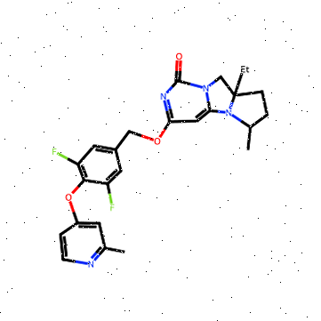 CCC12CCC(C)N1c1cc(OCc3cc(F)c(Oc4ccnc(C)c4)c(F)c3)nc(=O)n1C2